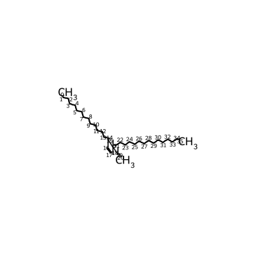 CCCCCCCCCCCCCCCN1C=CN(CC)C1CCCCCCCCCCCCCC